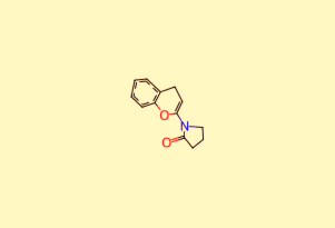 O=C1CCCN1C1=CCc2ccccc2O1